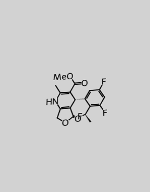 COC(=O)C1=C(C)NC2=C(C(=O)OC2)[C@H]1c1cc(F)cc(F)c1[C@@H](C)F